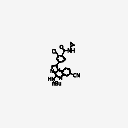 CCCCNc1nc2cc(C#N)ccc2n2c(-c3ccc(C(=O)NC4CC4)c(Cl)c3)cnc12